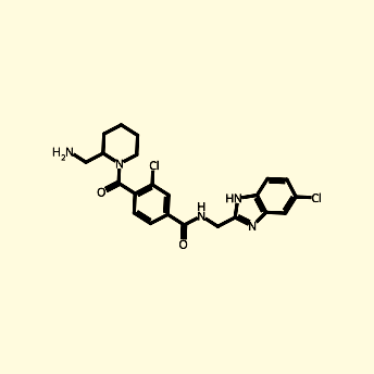 NCC1CCCCN1C(=O)c1ccc(C(=O)NCc2nc3cc(Cl)ccc3[nH]2)cc1Cl